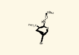 CC(C)(C)ONc1ncc(Br)cc1C(=O)O